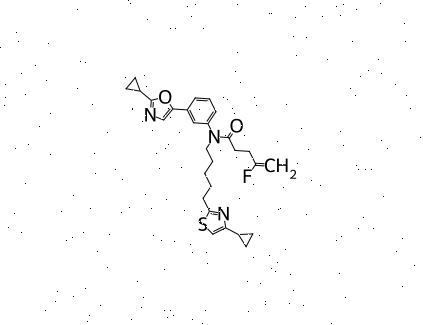 C=C(F)CCC(=O)N(CCCCCc1nc(C2CC2)cs1)c1cccc(-c2cnc(C3CC3)o2)c1